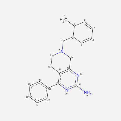 CC1C=CC=CC1CN1CCc2c(nc(N)nc2-c2ccccc2)C1